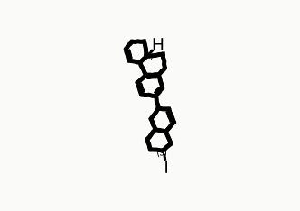 I[C@H]1CCC2CC(c3ccc4c(c3)CC[C@H]3CCC=CC43)C=CC2C1